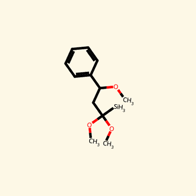 COC(CC([SiH3])(OC)OC)c1ccccc1